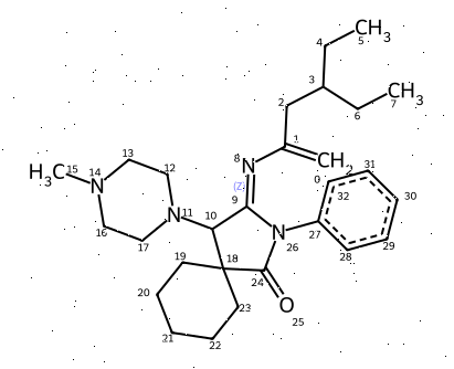 C=C(CC(CC)CC)/N=C1/C(N2CCN(C)CC2)C2(CCCCC2)C(=O)N1c1ccccc1